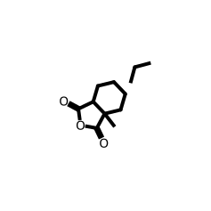 CC12CCCCC1C(=O)OC2=O.CCC